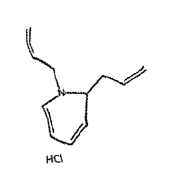 C=CCC1C=CC=CN1CC=C.Cl